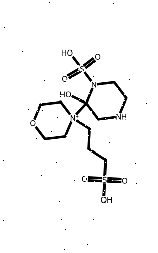 O=S(=O)(O)CCC[N+]1(C2(O)CNCCN2S(=O)(=O)O)CCOCC1